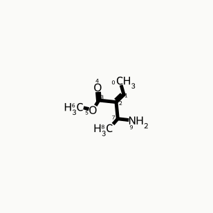 CC=C(C(=O)OC)C(C)N